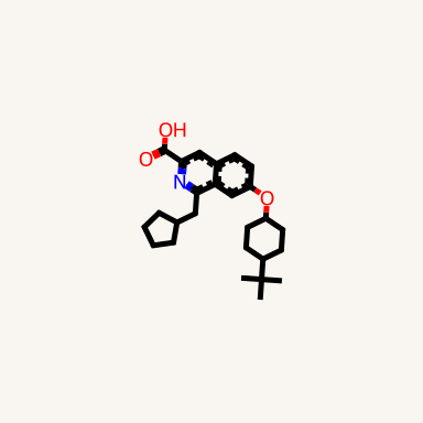 CC(C)(C)C1CCC(Oc2ccc3cc(C(=O)O)nc(CC4CCCC4)c3c2)CC1